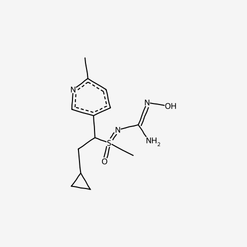 Cc1ccc(C(CC2CC2)S(C)(=O)=N/C(N)=N/O)cn1